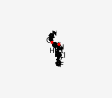 CN(C)[C@H]1CCN(C(=O)C=Cc2ccc3c(c2)sc2ncnc(Nc4ccc(OCc5cccc(F)c5)c(Cl)c4)c23)C1